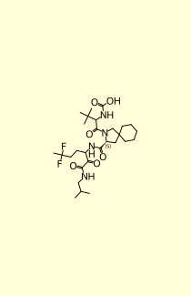 CC(C)CNC(=O)C(=O)C(CCC(C)(F)F)NC(=O)[C@@H]1CC2(CCCCC2)CN1C(=O)C(NC(=O)O)C(C)(C)C